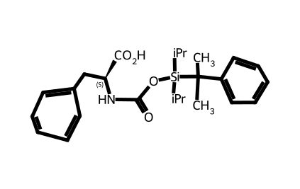 CC(C)[Si](OC(=O)N[C@@H](Cc1ccccc1)C(=O)O)(C(C)C)C(C)(C)c1ccccc1